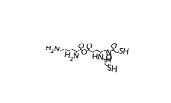 NCCCC[C@H](N)C(=O)OC(=O)CCC(CNC(=O)CS)NC(=O)CS